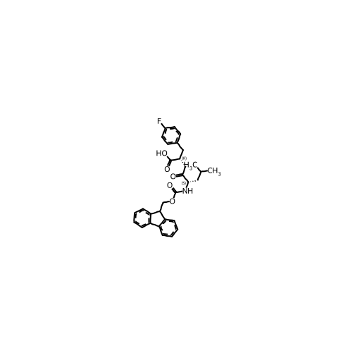 CC(C)C[C@H](NC(=O)OCC1c2ccccc2-c2ccccc21)C(=O)C[C@@H](Cc1ccc(F)cc1)C(=O)O